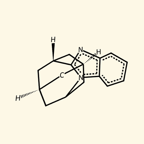 c1ccc2c(c1)nc1n2C2C[C@@H]3C[C@H](C2)C[C@H]1C3